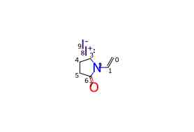 C=CN1CCCC1=O.[I+].[I-]